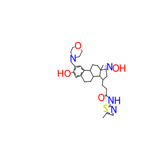 Cc1cnc(NC(=O)CCC2C/C(=N\O)C3(C)CCC4c5cc(CN6CCOCC6)c(O)cc5CCC4C23)s1